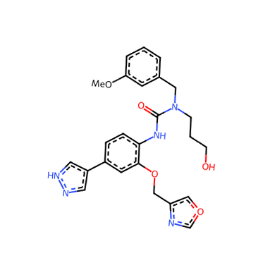 COc1cccc(CN(CCCO)C(=O)Nc2ccc(-c3cn[nH]c3)cc2OCc2cocn2)c1